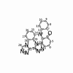 c1ccc2c(c1)Oc1ccccc1N2c1cccc2c1n1cnnc1c1nncn21